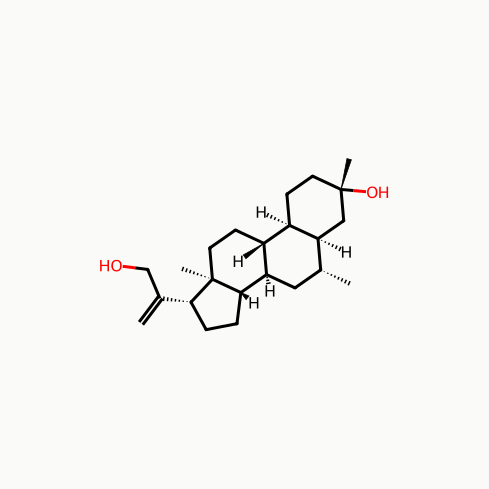 C=C(CO)[C@H]1CC[C@H]2[C@@H]3C[C@@H](C)[C@@H]4C[C@@](C)(O)CC[C@@H]4[C@H]3CC[C@]12C